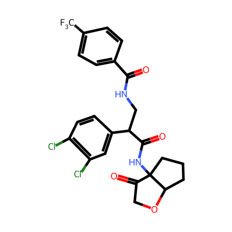 O=C(NCC(C(=O)NC12CCCC1OCC2=O)c1ccc(Cl)c(Cl)c1)c1ccc(C(F)(F)F)cc1